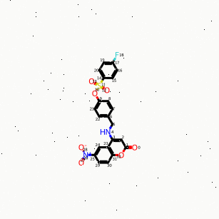 O=c1cc(NCc2ccc(OS(=O)(=O)c3ccc(F)cc3)cc2)c2cc([N+](=O)[O-])ccc2o1